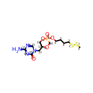 CSSCCCCOP1(=O)COC(Cn2cnc(N)nc2=O)CO1